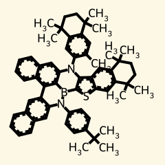 Cc1cc2c(cc1N1c3cc4ccccc4c4c3B(c3sc5cc6c(cc5c31)C(C)(C)CCC6(C)C)N(c1ccc(C(C)(C)C)cc1)c1cc3ccccc3cc1-4)C(C)(C)CCC2(C)C